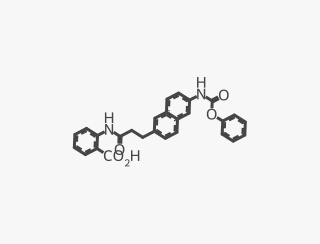 O=C(CCc1ccc2cc(NC(=O)Oc3ccccc3)ccc2c1)Nc1ccccc1C(=O)O